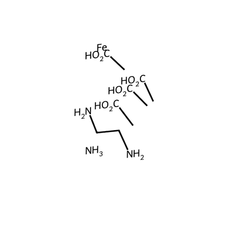 CC(=O)O.CC(=O)O.CC(=O)O.CC(=O)O.N.NCCN.[Fe]